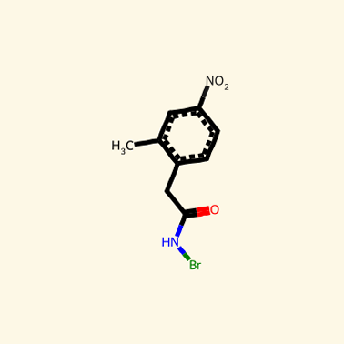 Cc1cc([N+](=O)[O-])ccc1CC(=O)NBr